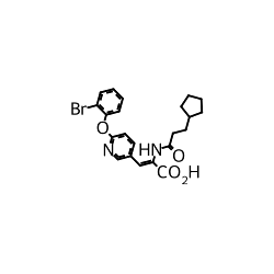 O=C(CCC1CCCC1)N/C(=C\c1ccc(Oc2ccccc2Br)nc1)C(=O)O